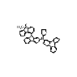 CC1(C)c2ccccc2-c2c(-n3c4ccccc4c4ccc(N(c5ccccc5)c5ccc6c7ccccc7c7ccccc7c6c5)cc43)cccc21